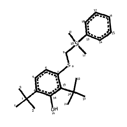 CC(C)(C)c1ccc(SC[Si](C)(C)c2ccccc2)c(C(C)(C)C)c1O